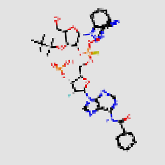 CC(C)(C)[Si](C)(C)OC1[C@@H](OP(=S)(OCCC#N)OC[C@H]2O[C@@H](n3cnc4c(NC(=O)c5ccccc5)ncnc43)[C@H](F)[C@@H]2O[PH](=O)O)[C@H](n2nnc3ccccc32)O[C@@H]1CO